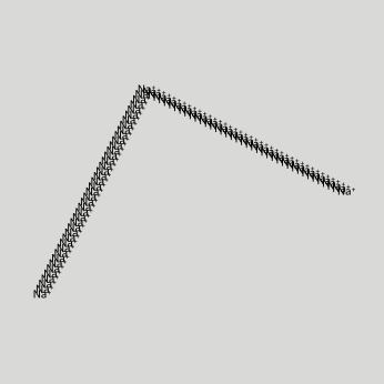 [Na+].[Na+].[Na+].[Na+].[Na+].[Na+].[Na+].[Na+].[Na+].[Na+].[Na+].[Na+].[Na+].[Na+].[Na+].[Na+].[Na+].[Na+].[Na+].[Na+].[Na+].[Na+].[Na+].[Na+].[Na+].[Na+].[Na+].[Na+].[Na+].[Na+].[Na+].[Na+].[Na+].[Na+].[Na+].[Na+].[Na+].[Na+].[Na+].[Na+].[Na+].[Na+].[Na+].[Na+].[Na+].[Na+].[Na+].[Na+].[Na+].[Na+].[Na+].[Na+].[Na+].[Na+].[Na+].[Na+].[Na+].[Na+].[Na+].[Na+].[Na+].[Na+].[Na+].[Na+].[Na+].[Na+].[Na+].[Na+].[Na+].[Na+].[Na+].[Na+].[Na+].[Na+].[Na+].[Na+].[Na+].[Na+].[Na+].[Na+]